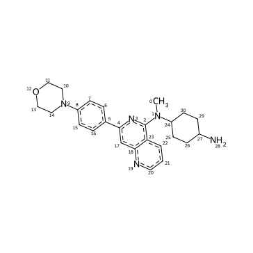 CN(c1nc(-c2ccc(N3CCOCC3)cc2)cc2ncccc12)C1CCC(N)CC1